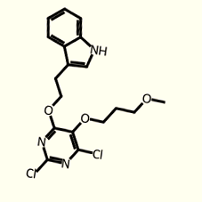 COCCCOc1c(Cl)nc(Cl)nc1OCCc1c[nH]c2ccccc12